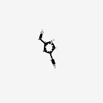 N#Cc1csc(C=O)c1